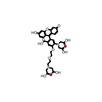 O=C(O)CN(CCOCCOc1cc(C(=O)O)c(-c2c3ccc(=O)cc-3oc3cc(O)ccc23)cc1N(CC(=O)O)CC(=O)O)CC(=O)O